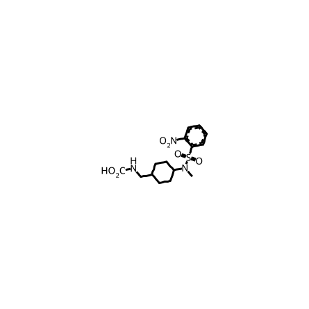 CN(C1CCC(CNC(=O)O)CC1)S(=O)(=O)c1ccccc1[N+](=O)[O-]